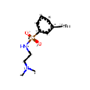 CN(C)CCNS(=O)(=O)c1cccc(C(C)(C)C)c1